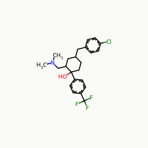 CN(C)CC1CC(Cc2ccc(Cl)cc2)CCC1(O)c1ccc(C(F)(F)F)cc1